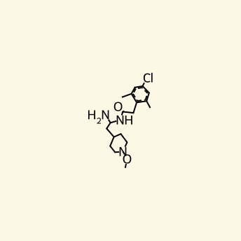 CON1CCC(CC(N)NC(=O)Cc2c(C)cc(Cl)cc2C)CC1